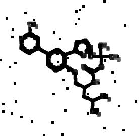 Cc1cc(-c2ccc(OC[C@H](CC(C)C)NC(=O)OC(C)(C)C)c(-c3ccno3)c2)ccn1